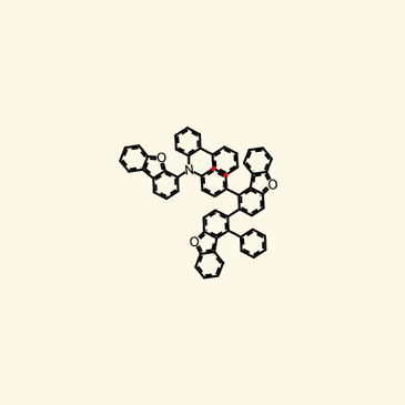 c1ccc(-c2ccccc2N(c2ccc(-c3c(-c4ccc5oc6ccccc6c5c4-c4ccccc4)ccc4oc5ccccc5c34)cc2)c2cccc3c2oc2ccccc23)cc1